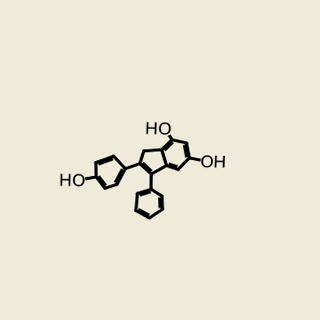 Oc1ccc(C2=C(c3ccccc3)c3cc(O)cc(O)c3C2)cc1